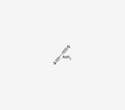 N#CC#N.[AsH3]